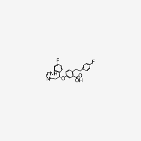 O=C(O)c1cc(OC(Cc2ncc[nH]2)c2ccc(F)cc2)ccc1CCc1ccc(F)cc1